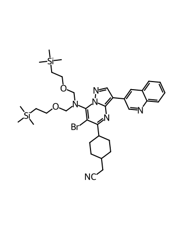 C[Si](C)(C)CCOCN(COCC[Si](C)(C)C)c1c(Br)c(C2CCC(CC#N)CC2)nc2c(-c3cnc4ccccc4c3)cnn12